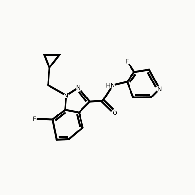 O=C(Nc1ccncc1F)c1nn(CC2CC2)c2c(F)cccc12